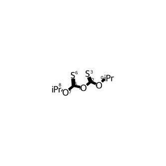 CC(C)OC(=S)OC(=S)OC(C)C